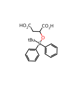 CC(C)(C)[Si](OC(CC(=O)O)C(=O)O)(c1ccccc1)c1ccccc1